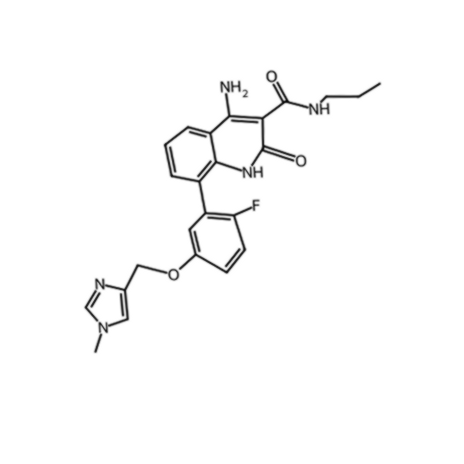 CCCNC(=O)c1c(N)c2cccc(-c3cc(OCc4cn(C)cn4)ccc3F)c2[nH]c1=O